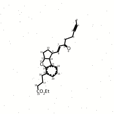 CC#CCCC(=O)/C=C/C1CCC2Oc3c(CCCC(=O)OCC)cccc3C12